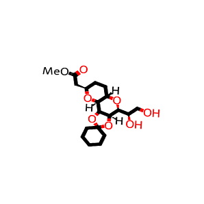 COC(=O)C[C@H]1CC[C@@H]2O[C@@H]([C@H](O)CO)[C@H]3OC4(CCCCC4)OC3[C@H]2O1